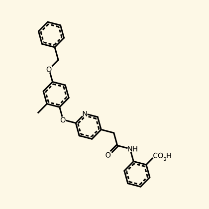 Cc1cc(OCc2ccccc2)ccc1Oc1ccc(CC(=O)Nc2ccccc2C(=O)O)cn1